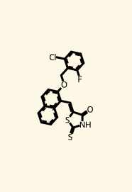 O=C1NC(=S)S/C1=C\c1c(OCc2c(F)cccc2Cl)ccc2ccccc12